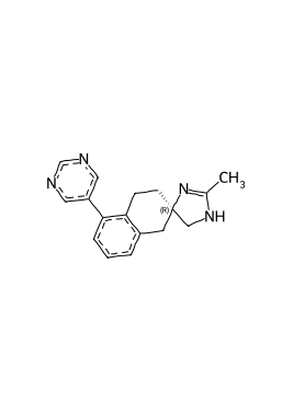 CC1=N[C@@]2(CCc3c(cccc3-c3cncnc3)C2)CN1